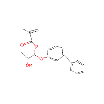 C=C(C)C(=O)OC(Oc1cccc(-c2ccccc2)c1)C(C)O